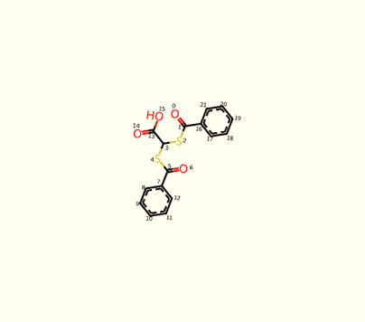 O=C(SC(SC(=O)c1ccccc1)C(=O)O)c1ccccc1